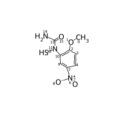 COc1ccc([N+](=O)[O-])cc1N(S)C(N)=O